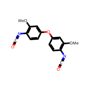 COc1cc(Oc2ccc(N=C=O)c(OC)c2)ccc1N=C=O